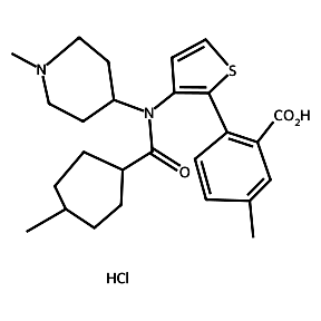 Cc1ccc(-c2sccc2N(C(=O)C2CCC(C)CC2)C2CCN(C)CC2)c(C(=O)O)c1.Cl